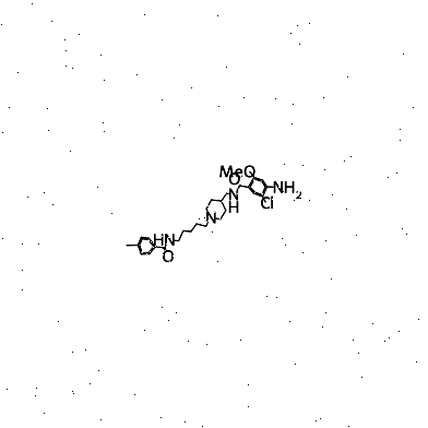 COc1cc(N)c(Cl)cc1C(=O)NCC1CCN(CCCCCNC(=O)c2ccc(C)cc2)CC1